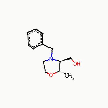 C[C@@H]1OCCN(Cc2ccccc2)[C@H]1CO